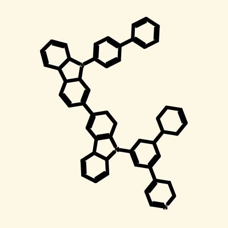 C1=CC2C3=C(CCC(C4=CC5C(C=C4)C4C=CC=CC4N5c4ccc(-c5ccccc5)cc4)=C3)N(C3=CC(C4=CC=NCC4)=CC(C4CC=CCC4)C3)C2C=C1